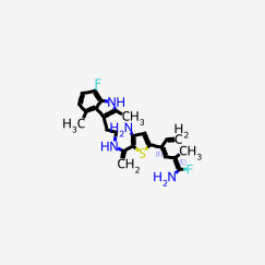 C=C/C(=C\C(C)=C(/N)F)c1cc(N)c(C(=C)NCCc2c(C)[nH]c3c(F)ccc(C)c23)s1